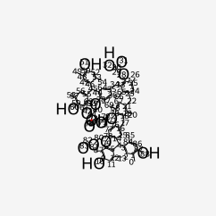 Cc1cc(C(c2cc(C)c(O)cc2C)c2cc(Cc3c(C)c(Cc4cc(C)c(OCC(=O)O)c(Cc5ccc(OCC(=O)O)c(C(c6cc(C)c(O)cc6C)c6cc(C)c(O)cc6C)c5)c4C)cc(C)c3OCOC=O)ccc2OCOC=O)c(C)cc1O